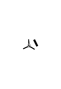 C=C.CN(C)C